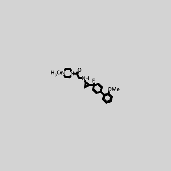 COc1ccccc1C1C=CC(F)(C2CC2NCC(=O)N2CCN(C)CC2)C=C1